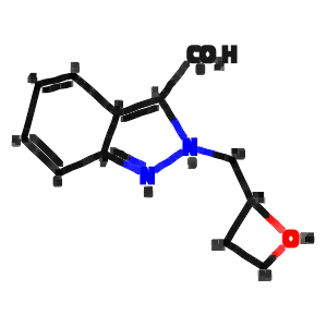 O=C(O)c1c2ccccc2nn1CC1CCO1